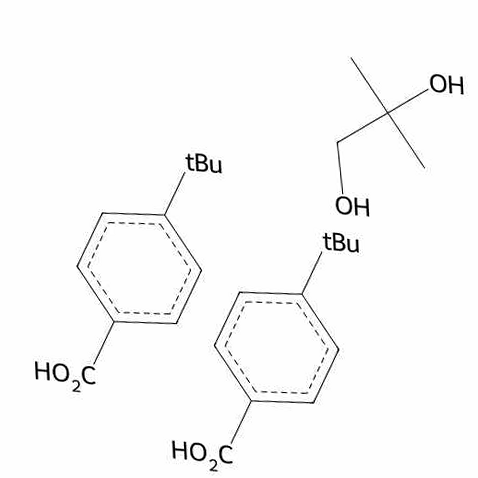 CC(C)(C)c1ccc(C(=O)O)cc1.CC(C)(C)c1ccc(C(=O)O)cc1.CC(C)(O)CO